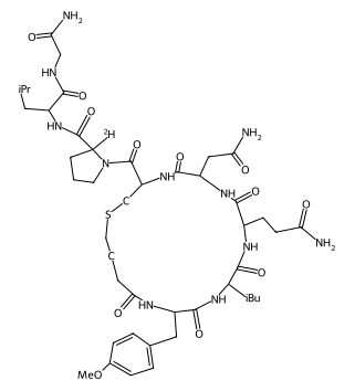 [2H]C1(C(=O)NC(CC(C)C)C(=O)NCC(N)=O)CCCN1C(=O)C1CSCCCC(=O)NC(Cc2ccc(OC)cc2)C(=O)NC(C(C)CC)C(=O)NC(CCC(N)=O)C(=O)NC(CC(N)=O)C(=O)N1